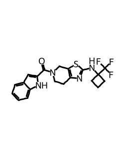 O=C(c1cc2ccccc2[nH]1)N1CCc2nc(NC3(C(F)(F)F)CCC3)sc2C1